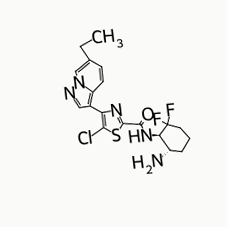 CCc1ccc2c(-c3nc(C(=O)N[C@@H]4[C@@H](N)CCCC4(F)F)sc3Cl)cnn2c1